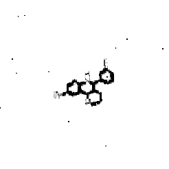 CC(C)c1ccc2c(c1)C1OCCCC1C(c1cccc(F)c1)N2